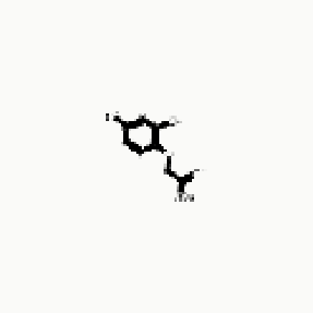 CC(C)(C)C(=O)COc1ccc(Cl)cc1Cl